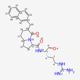 N=C(N)NCCC[C@@H](C=O)NC(=O)C1CCC2CCC(Cc3ccc4ccccc4c3)C(=O)N21